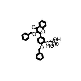 O=c1c(OCc2ccccc2)c(-c2ccc(OCc3ccccc3)c(OCP(=O)(O)O)c2)oc2ccccc12